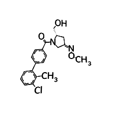 CO/N=C1/C[C@@H](CO)N(C(=O)c2ccc(-c3cccc(Cl)c3C)cc2)C1